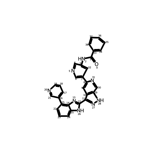 O=C(Nc1cncc(-c2cc3c(-c4nc5c(-c6cccnc6)cccc5[nH]4)n[nH]c3cn2)c1)c1ccccc1